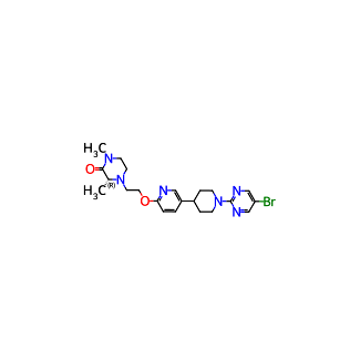 C[C@@H]1C(=O)N(C)CCN1CCOc1ccc(C2CCN(c3ncc(Br)cn3)CC2)cn1